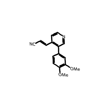 COc1ccc(-c2cnccc2C=CC#N)cc1OC